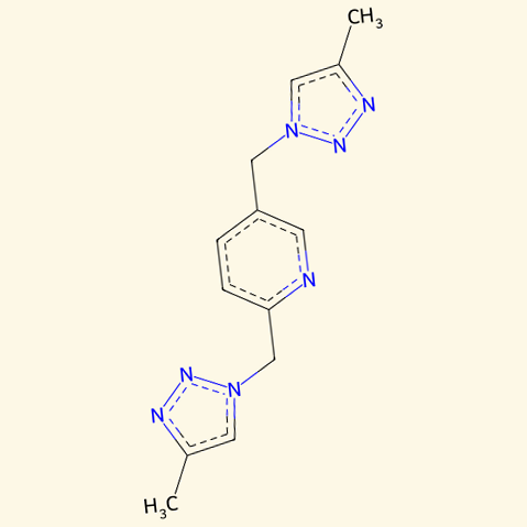 Cc1cn(Cc2ccc(Cn3cc(C)nn3)nc2)nn1